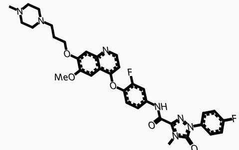 COc1cc2c(Oc3ccc(NC(=O)c4nn(-c5ccc(F)cc5)c(=O)n4C)cc3F)ccnc2cc1OCCCN1CCN(C)CC1